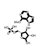 COc1ncnc2nc[nH]c12.O=P(O)(O)OC[C@H]1OC(O)[C@@H](O)[C@@H]1O